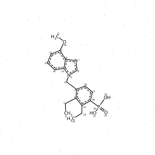 CCc1c(Cn2cnc3c(OC)cccc32)ccc(P(=O)(O)O)c1CC